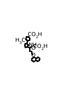 Cc1cc(C(=O)O)ccc1-c1cccc2c(CCCOc3cccc4ccccc34)c(OC(=O)O)[nH]c12